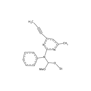 CC#Cc1cc(C)nc(N(c2ccccc2)C(OC)OCC)n1